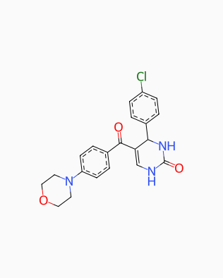 O=C1NC=C(C(=O)c2ccc(N3CCOCC3)cc2)C(c2ccc(Cl)cc2)N1